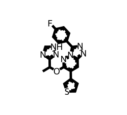 CC(Oc1nn2c(-c3ccc(F)cc3)nnc2cc1-c1ccsc1)c1nc[nH]n1